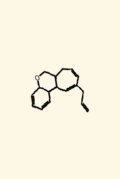 C=CCC1=CC2C(CC=C1)COC1C=CC=CC12